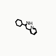 N=C(Cc1ccccn1)C1CCCCC1